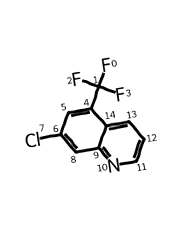 FC(F)(F)c1cc(Cl)cc2ncccc12